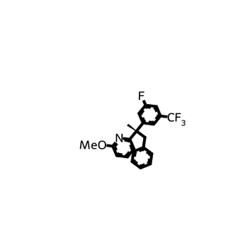 COc1cccc([C@@](C)(Cc2ccccc2)c2cc(F)cc(C(F)(F)F)c2)n1